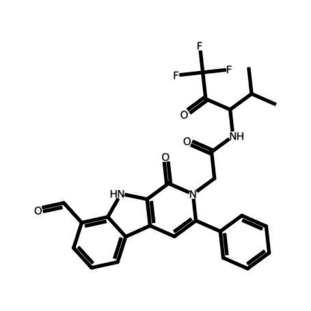 CC(C)C(NC(=O)Cn1c(-c2ccccc2)cc2c([nH]c3c(C=O)cccc32)c1=O)C(=O)C(F)(F)F